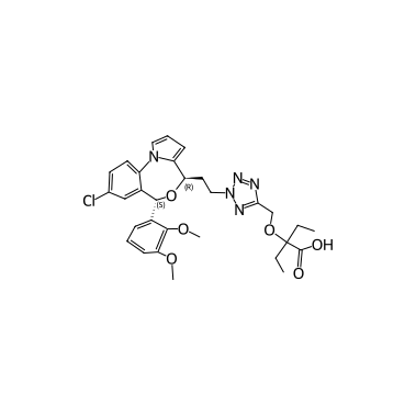 CCC(CC)(OCc1nnn(CC[C@H]2O[C@H](c3cccc(OC)c3OC)c3cc(Cl)ccc3-n3cccc32)n1)C(=O)O